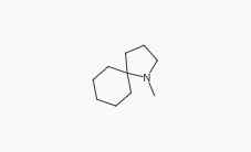 CN1CCCC12CCCCC2